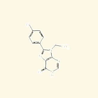 CCn1c(-c2ccc(Cl)cc2)nc2c(=O)[nH]cnc21